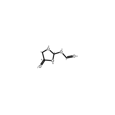 O=[C]OC1OCC(=O)O1